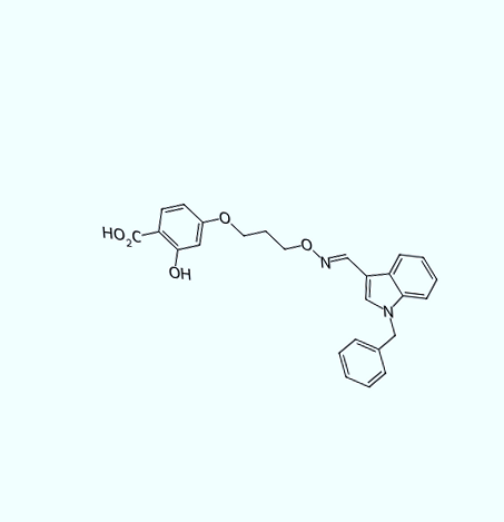 O=C(O)c1ccc(OCCCON=Cc2cn(Cc3ccccc3)c3ccccc23)cc1O